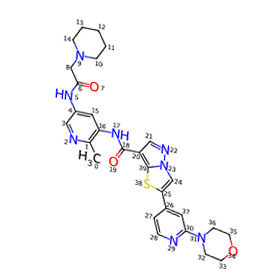 Cc1ncc(NC(=O)CN2CCCCC2)cc1NC(=O)c1cnn2cc(-c3ccnc(N4CCOCC4)c3)sc12